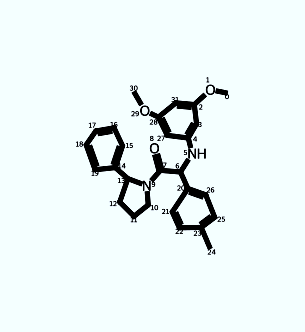 COc1cc(NC(C(=O)N2CCCC2c2ccccc2)c2ccc(C)cc2)cc(OC)c1